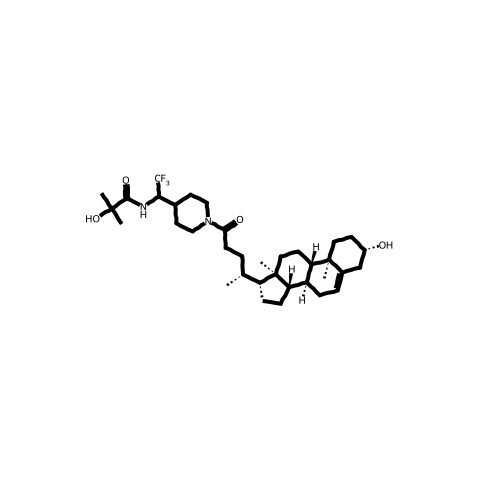 C[C@H](CCC(=O)N1CCC(C(NC(=O)C(C)(C)O)C(F)(F)F)CC1)[C@H]1CC[C@H]2[C@@H]3CC=C4C[C@@H](O)CC[C@]4(C)[C@H]3CC[C@]12C